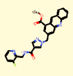 CC(C)(C)OC(=O)c1cc(Cn2cc(C(=O)NCc3ncccc3F)cn2)cc2nc3ccccc3cc12